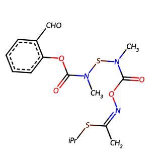 CC(=NOC(=O)N(C)SN(C)C(=O)Oc1ccccc1C=O)SC(C)C